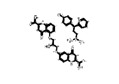 CN(C)CCC(c1ccc(Cl)cc1)c1ccccn1.O=C(O)c1cc(=O)c2cc(OCC(O)COc3cccc4oc(C(=O)O)cc(=O)c34)ccc2o1